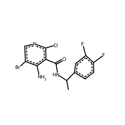 CC(NC(=O)c1c(Cl)ncc(Br)c1N)c1ccc(F)c(F)c1